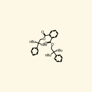 CCCCC(CCCC)(COC(=O)c1ccccc1C(=O)OCC(CCCC)(CCCC)c1ccccc1)c1ccccc1